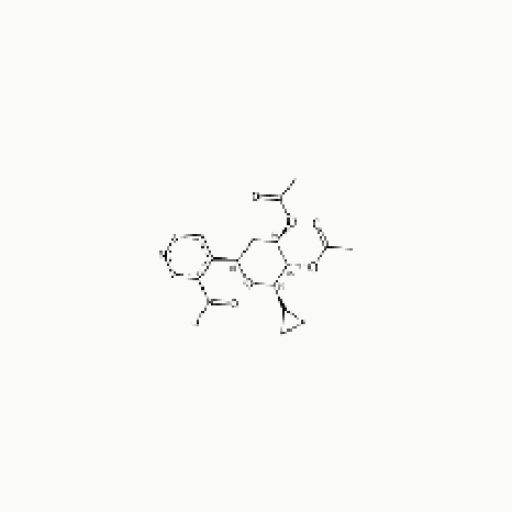 CC(=O)O[C@@H]1[C@@H](C2CC2)O[C@@H](c2ccncc2[N+](=O)[O-])C[C@H]1OC(C)=O